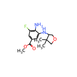 COC(=O)c1cc(F)c(N)c(NC2COCC2(C)C)c1